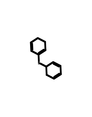 C1=CCC(SC2=CCCC=C2)C=C1